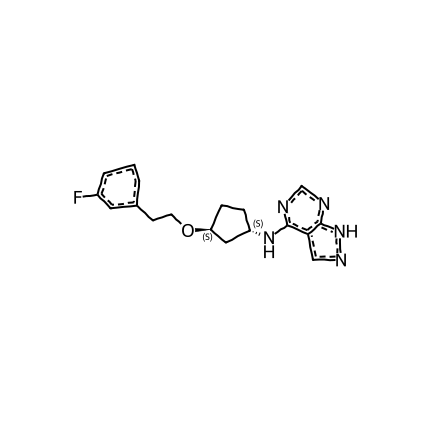 Fc1cccc(CCO[C@H]2CC[C@H](Nc3ncnc4[nH]ncc34)C2)c1